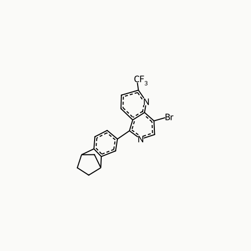 FC(F)(F)c1ccc2c(-c3ccc4c(c3)C3CCC4C3)ncc(Br)c2n1